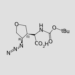 CC(C)(C)OC(=O)NC(C(=O)O)[C@@H]1COC[C@@H]1N=[N+]=[N-]